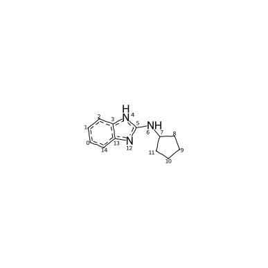 c1ccc2[nH]c(NC3CCCC3)nc2c1